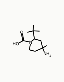 CC1(N)CCN(C(=O)O)C(C(C)(C)C)C1